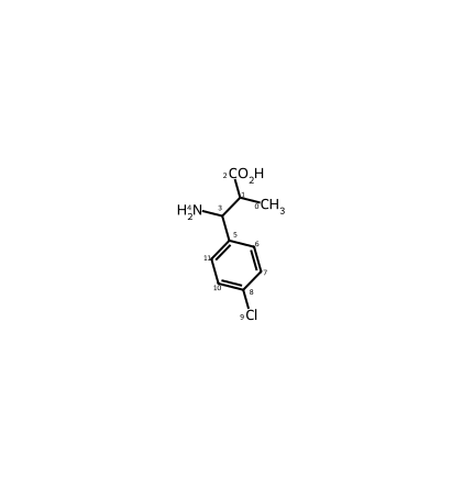 CC(C(=O)O)C(N)c1ccc(Cl)cc1